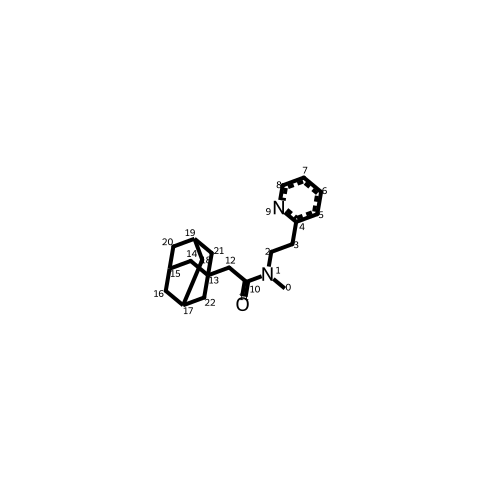 CN(CCc1ccccn1)C(=O)CC12CC3CC(CC(C3)C1)C2